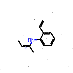 C=Cc1ccccc1N/C(C)=C\C